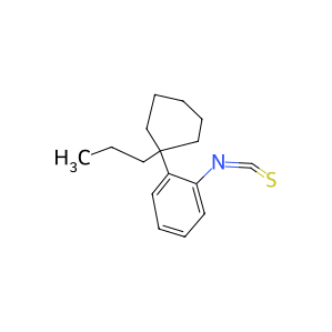 CCCC1(c2ccccc2N=C=S)CCCCC1